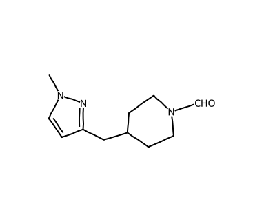 Cn1ccc(CC2CCN(C=O)CC2)n1